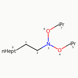 CCCCCCCCCN(OC(C)C)OC(C)C